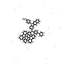 N#Cc1ccc(-n2c3ccc(N(c4ccc(-c5ccccc5)cc4)c4ccc5c(c4)C4(C6=C5C5(c7ccccc76)c6ccccc6-c6ccccc65)c5ccccc5-c5ccccc54)cc3c3cc4ccccc4cc32)cc1